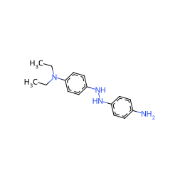 CCN(CC)c1ccc(NNc2ccc(N)cc2)cc1